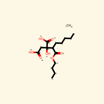 C.CCCCCC(C(=O)OCCCC)C(O)(CC(=O)O)C(=O)O